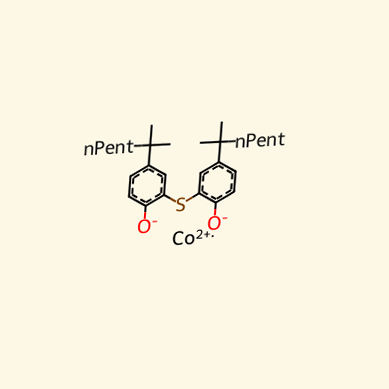 CCCCCC(C)(C)c1ccc([O-])c(Sc2cc(C(C)(C)CCCCC)ccc2[O-])c1.[Co+2]